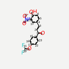 O=C(C=Cc1ccc(O)c([N+](=O)[O-])c1)c1ccc(OC(F)F)cc1